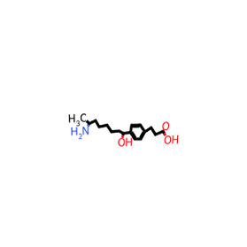 CC(N)CCCCCC(O)c1ccc(CCC(=O)O)cc1